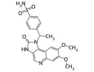 COc1cc2ncc3[nH]c(=O)n(C(C)c4ccc(S(N)(=O)=O)cc4)c3c2cc1OC